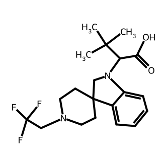 CC(C)(C)C(C(=O)O)N1CC2(CCN(CC(F)(F)F)CC2)c2ccccc21